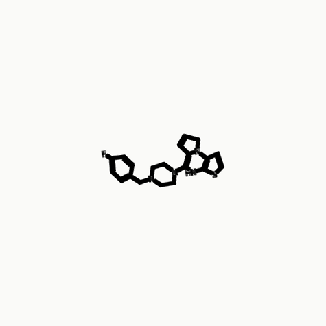 Fc1ccc(CN2CCN(C3=C4C=CCN4c4ccsc4N3)CC2)cc1